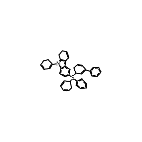 C1=CCCC(n2c3c(c4cc(S(c5ccccc5)(C5C=CC=CC5)C5C=C(c6ccccc6)C=CC5)ccc42)C=CCC3)=C1